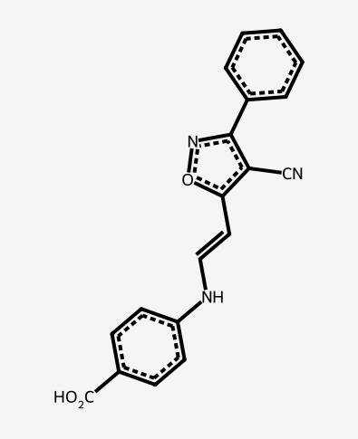 N#Cc1c(-c2ccccc2)noc1C=CNc1ccc(C(=O)O)cc1